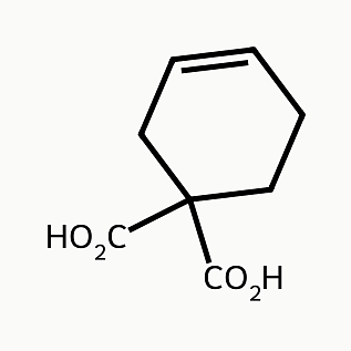 O=C(O)C1(C(=O)O)CC=CCC1